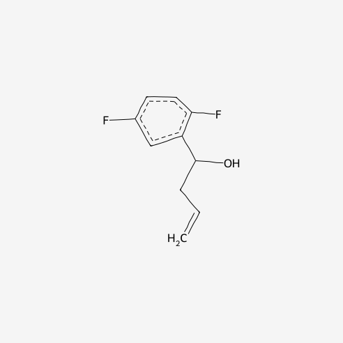 C=CCC(O)c1cc(F)ccc1F